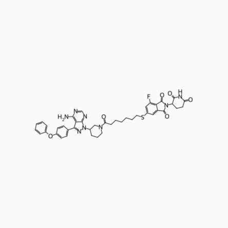 Nc1ncnc2c1c(-c1ccc(Oc3ccccc3)cc1)nn2C1CCCN(C(=O)CCCCCCSc2cc(F)c3c(c2)C(=O)N(C2CCC(=O)NC2=O)C3=O)C1